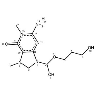 CN1CN(C(O)OCCCO)c2nc(N)n(C)c(=O)c21.I